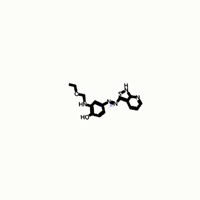 CCOCNc1cc(/N=N/C2=C3C=CC=NC3NS2)ccc1O